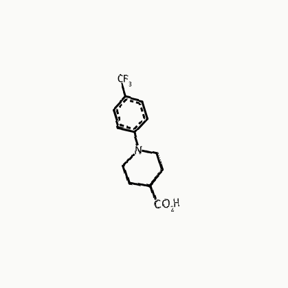 O=C(O)C1CCN(c2ccc(C(F)(F)F)cc2)CC1